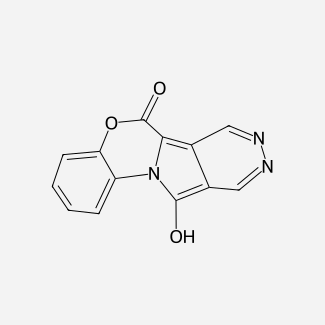 O=c1oc2ccccc2n2c(O)c3cnncc3c12